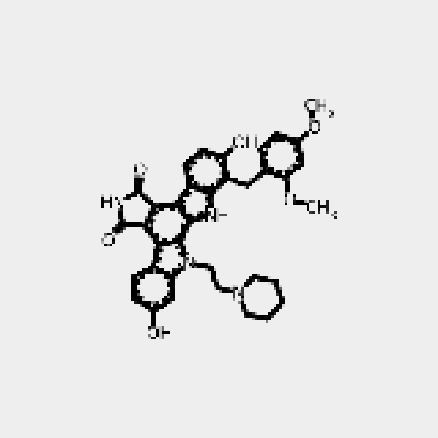 COc1ccc(Cc2c(O)ccc3c2[nH]c2c3c3c(c4c5ccc(O)cc5n(CCN5CCCCC5)c24)C(=O)NC3=O)c(OC)c1